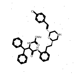 COC(=O)NC(C(=O)Nc1ccccc1CC[C@@H]1CNC[C@@H](/C=C/c2ccc(Cl)cc2)O1)C(c1ccccc1)c1ccccc1